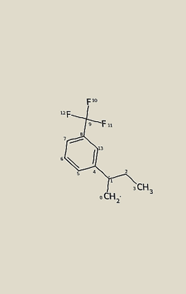 [CH2][C](CC)c1cccc(C(F)(F)F)c1